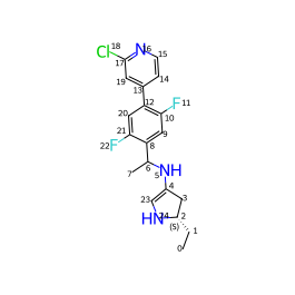 CC[C@H]1CC(NC(C)c2cc(F)c(-c3ccnc(Cl)c3)cc2F)=CN1